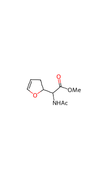 COC(=O)C(NC(C)=O)C1CC=CO1